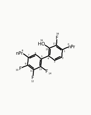 CCCc1ccc(-c2cc(CCC)c(F)c(F)c2F)c(O)c1F